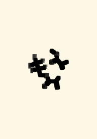 C=C(C)C(=O)OC.C=C(C)C(=O)OCC(F)(F)C(F)(F)F